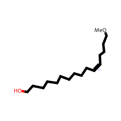 COCCCC/C=C\CCCCCCCCCCO